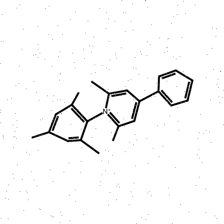 Cc1cc(C)c(-[n+]2c(C)cc(-c3ccccc3)cc2C)c(C)c1